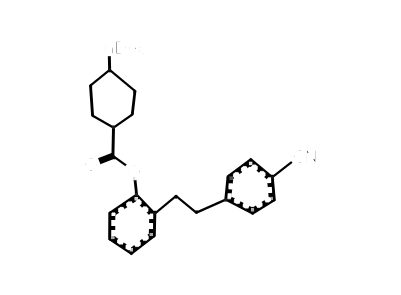 CCCCCCCCCCC1CCC(C(=O)Oc2ccccc2CCc2ccc(C#N)cc2)CC1